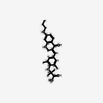 CCCOc1ccc2c(c1)OC/C(=C\c1cc(C)c(OC(C)(C)C(=O)O)c(C)c1)C2=O